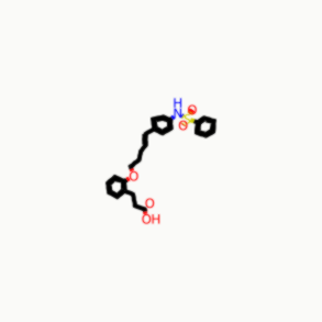 O=C(O)CCc1ccccc1OCCC/C=C/c1ccc(NS(=O)(=O)c2ccccc2)cc1